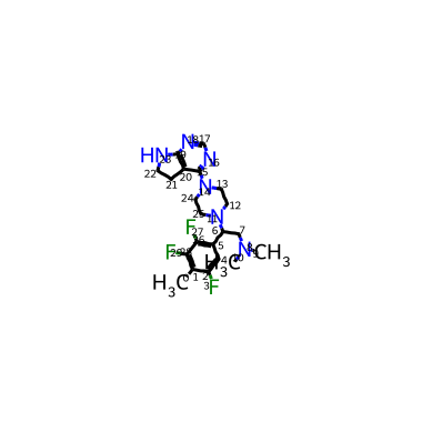 Cc1c(F)cc(C(CN(C)C)N2CCN(c3ncnc4c3CCN4)CC2)c(F)c1F